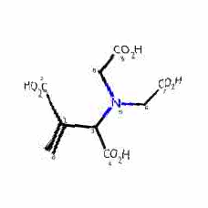 C=C(C(=O)O)C(C(=O)O)N(CC(=O)O)CC(=O)O